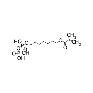 C=C(C)C(=O)OCCCCCCCOP(=O)(O)OP(=O)(O)O